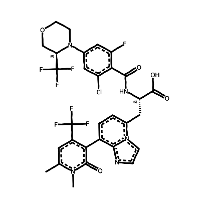 Cc1cc(C(F)(F)F)c(-c2ccc(C[C@H](NC(=O)c3c(F)cc(N4CCOC[C@@H]4C(F)(F)F)cc3Cl)C(=O)O)n3ccnc23)c(=O)n1C